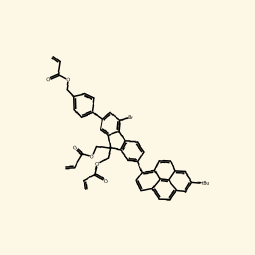 C=CC(=O)OCc1ccc(-c2cc(Br)c3c(c2)C(COC(=O)C=C)(COC(=O)C=C)c2cc(-c4ccc5ccc6cc(C(C)(C)C)cc7ccc4c5c67)ccc2-3)cc1